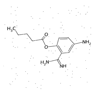 CCCCC(=O)Oc1ccc(N)cc1C(=N)N